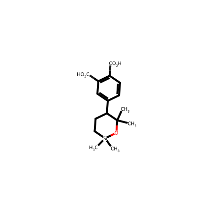 CC1(C)O[Si](C)(C)CCC1c1ccc(C(=O)O)c(C(=O)O)c1